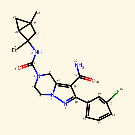 CCC1(NC(=O)N2CCn3nc(-c4cccc(F)c4)c(C(N)=O)c3C2)CC2(C)CC21